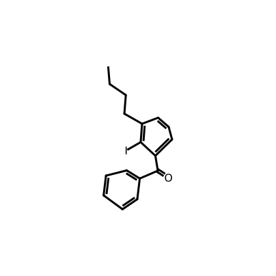 CCCCc1cccc(C(=O)c2ccccc2)c1I